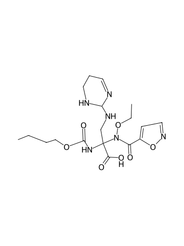 CCCCOC(=O)NC(CNC1N=CCCN1)(C(=O)O)N(OCC)C(=O)c1ccno1